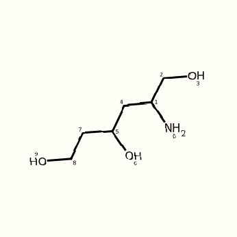 NC(CO)CC(O)CCO